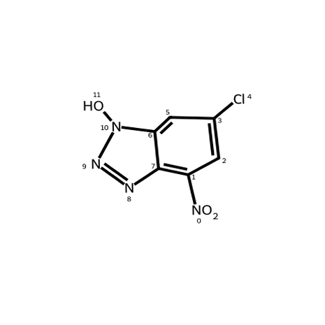 O=[N+]([O-])c1cc(Cl)cc2c1nnn2O